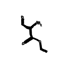 CCOC(=O)C(N)C=O